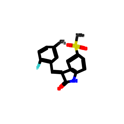 CNS(=O)(=O)c1ccc2c(c1)C(=Cc1cc(C(F)(F)F)ccc1F)C(=O)N2